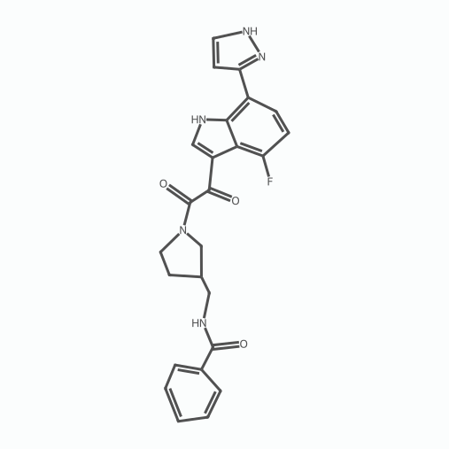 O=C(NCC1CCN(C(=O)C(=O)c2c[nH]c3c(-c4cc[nH]n4)ccc(F)c23)C1)c1ccccc1